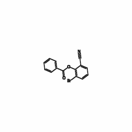 N#Cc1cccc(Br)c1OC(=O)c1ccccc1